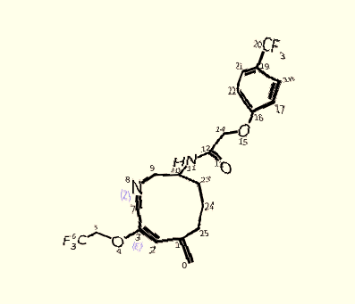 C=C1/C=C(OCC(F)(F)F)\C=N/CC(NC(=O)COc2ccc(C(F)(F)F)cc2)CCC1